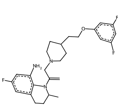 C=C(CN1CCC(CCOc2cc(F)cc(F)c2)CC1)N1c2c(N)cc(F)cc2CCC1C